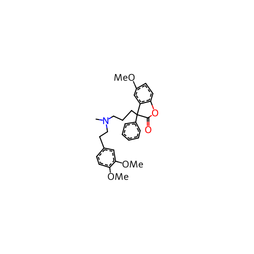 COc1ccc2c(c1)C(CCCN(C)CCc1ccc(OC)c(OC)c1)(c1ccccc1)C(=O)O2